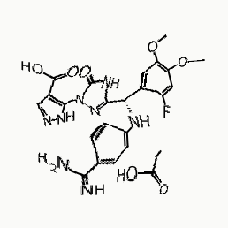 CC(=O)O.COc1cc(F)c([C@H](Nc2ccc(C(=N)N)cc2)c2nn(-c3[nH]ncc3C(=O)O)c(=O)[nH]2)cc1OC